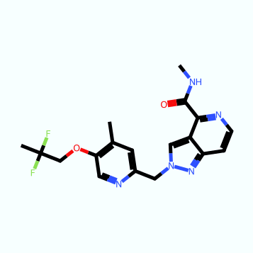 CNC(=O)c1nccc2nn(Cc3cc(C)c(OCC(C)(F)F)cn3)cc12